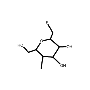 CC1C(CO)OC(CF)C(O)C1O